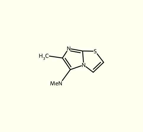 CNc1c(C)nc2sccn12